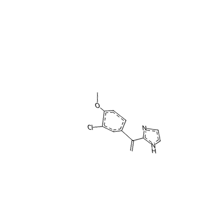 C=C(c1ccc(OC)c(Cl)c1)c1ncc[nH]1